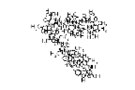 CC(=O)N[C@@H](C)C(=O)N[C@@H](C)C(=O)N[C@H](C(=O)N[C@@H](C)C(=O)N[C@@H](CC(C)C)C(=O)N[C@@H](CC(C)C)C(=O)N1CCC[C@H]1C(=O)N[C@@H](C)C(=O)N[C@H](C(=O)N[C@@H](CC(C)C)C(=O)N[C@@H](CC(C)C)C(=O)N[C@@H](C)C(=O)N[C@@H](CC(C)C)C(=O)N[C@@H](CC(C)C)C(=O)N1CCC[C@H]1C(=O)N[C@@H](Cc1ccc(O)cc1)C(=O)N[C@H](C(=O)N[C@@H](C)C(=O)N[C@@H](CC(=O)O)C(=O)O)C(C)C)C(C)C)C(C)C